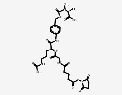 CC(C)[C@@H](C(N)=O)N(C)C(=O)OCc1ccc(NC(=O)[C@H](CCCNC(N)=O)NC(=O)CNC(=O)CCCC(=O)ON2C(=O)CCC2=O)cc1